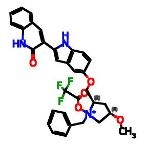 CO[C@@H]1C[C@H](COc2ccc3[nH]c(-c4cc5ccccc5[nH]c4=O)cc3c2)[N+](Cc2ccccc2)(OC(=O)C(F)(F)F)C1